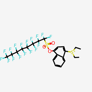 CC[S+](CC)c1ccc(OS(=O)(=O)C(F)(F)C(F)(F)C(F)(F)C(F)(F)C(F)(F)C(F)(F)C(F)(F)C(F)(F)F)c2ccccc12